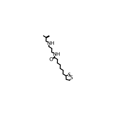 C=C(C)CNCCCNC(=O)CCCCCCC1CCSS1